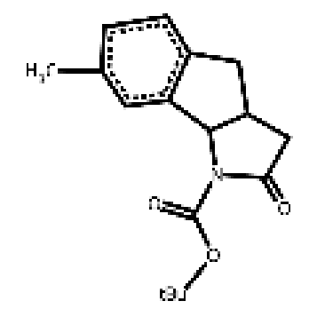 Cc1ccc2c(c1)C1C(CC(=O)N1C(=O)OC(C)(C)C)C2